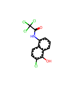 O=C(Nc1cccc2c(O)c(Cl)ccc12)C(Cl)(Cl)Cl